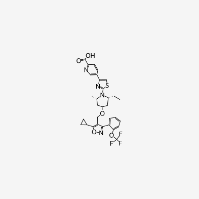 CC[C@@H]1C[C@H](OCc2c(-c3ccccc3OC(F)(F)F)noc2C2CC2)C[C@H](C)N1c1nc(-c2ccc(C(=O)O)nc2)cs1